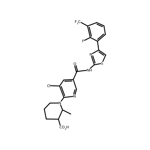 CC1C(C(=O)O)CCCN1c1ncc(C(=O)Nc2nc(-c3cccc(C(F)(F)F)c3F)cs2)cc1Cl